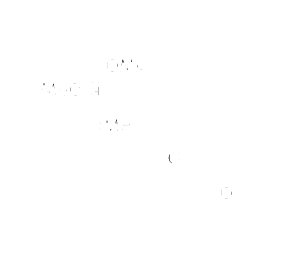 CO[Si](CCCOC1OC1C)(OC)OC